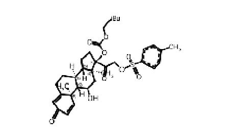 CCC(C)COC(=O)O[C@]1(C(=O)COS(=O)(=O)c2ccc(C)cc2)CC[C@H]2[C@@H]3CCC4=CC(=O)C=C[C@]4(C)[C@H]3C(O)C[C@@]21C